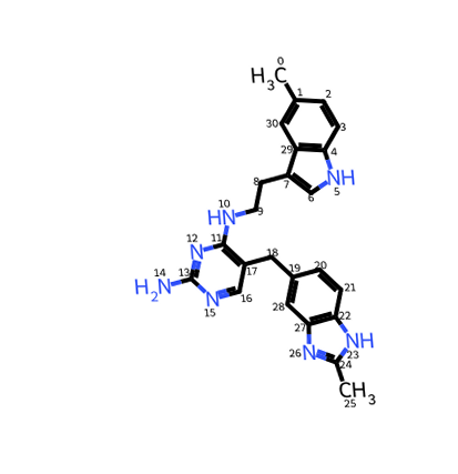 Cc1ccc2[nH]cc(CCNc3nc(N)ncc3Cc3ccc4[nH]c(C)nc4c3)c2c1